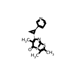 Cc1sc2nc([C@@H]3C[C@H]3c3cccnc3)c(C)c(=O)n2c1C